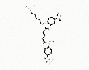 CCN1C(=CC=Cc2oc3cc(S(=O)(=O)O)ccc3[n+]2CCCCCC(=O)O)Oc2cc(S(=O)(=O)O)ccc21